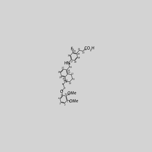 COc1cccc(OCCN2CCCc3c(CNc4ccc(CCC(=O)O)c(F)c4)cccc32)c1OC